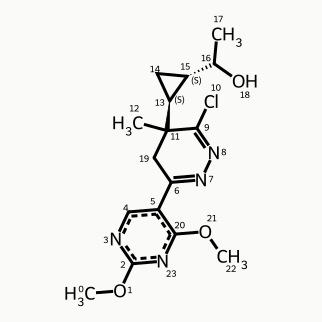 COc1ncc(C2=NN=C(Cl)C(C)([C@H]3C[C@@H]3C(C)O)C2)c(OC)n1